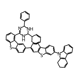 C1=CCC(C2NC(c3cccc4sc5ccc(-c6ccc7c(c6)sc6cc(-n8c9c(c%10ccccc%108)C=CCC9)ccc67)cc5c34)=NC(c3ccccc3)N2)C=C1